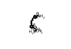 CC(C)(C)OC(=O)c1cccc(C#CCCCc2ccc(C(N)=O)cc2)c1F